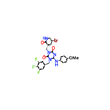 COc1ccc(Nc2nc(=O)n(Cc3cc(Br)c[nH]c3=O)c(=O)n2Cc2cc(F)c(F)c(F)c2)cc1